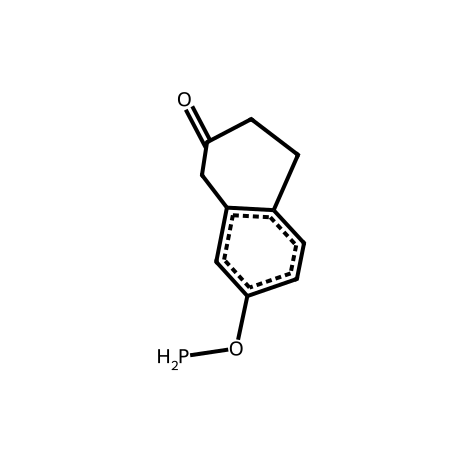 O=C1CCc2ccc(OP)cc2C1